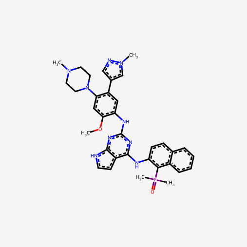 COc1cc(N2CCN(C)CC2)c(-c2cnn(C)c2)cc1Nc1nc(Nc2ccc3ccccc3c2P(C)(C)=O)c2cc[nH]c2n1